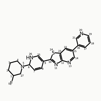 FC1CCCN(C2C=CC(c3nc4ncc(-c5cccnc5)cc4s3)=CN2)C1